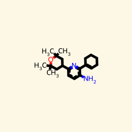 CC1(C)CC(c2ccc(N)c(C3=CCCCC3)n2)CC(C)(C)O1